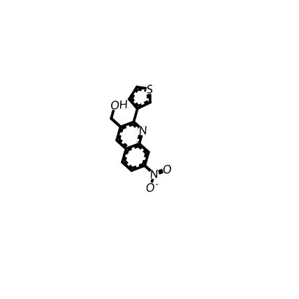 O=[N+]([O-])c1ccc2cc(CO)c(-c3ccsc3)nc2c1